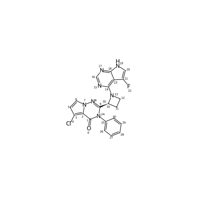 O=c1c2c(Cl)ccn2nc([C@@H]2CCN2c2ncnc3[nH]cc(F)c23)n1-c1ccccc1